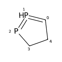 C1=[PH]=PCC1